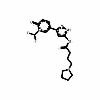 O=C(CCCN1CCCC1)Nc1cc(-c2ccc(=O)n(C(F)F)c2)n[nH]1